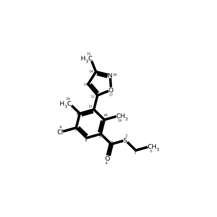 CCSC(=O)c1cc(Cl)c(C)c(-c2cc(C)no2)c1C